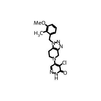 COc1cccc(Cn2nnc3c2CCN(c2cn[nH]c(=O)c2Cl)C3)c1C